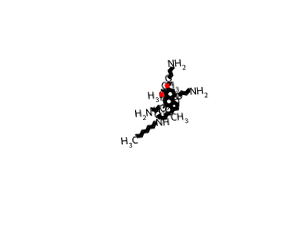 CCCCCCCCNC(=O)CCC(C)C1CC[C@H]2C3[C@H](OCCCN)CC(CCOCCCN)[C@](C)(CC)[C@H]3C[C@H](OCCCN)[C@]12C